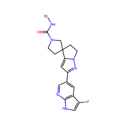 CCNC(=O)N1CCC2(CCn3nc(-c4cnc5[nH]cc(F)c5c4)cc32)C1